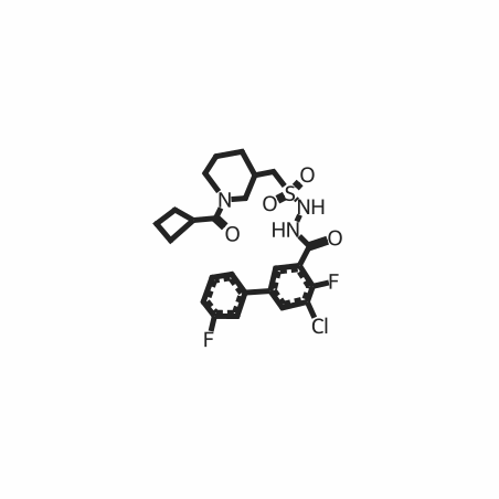 O=C(NNS(=O)(=O)CC1CCCN(C(=O)C2CCC2)C1)c1cc(-c2cccc(F)c2)cc(Cl)c1F